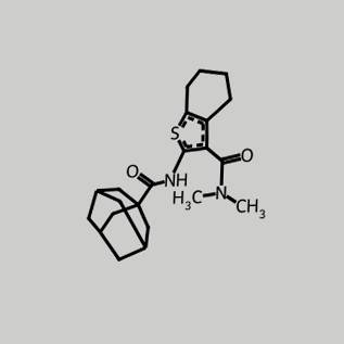 CN(C)C(=O)c1c(NC(=O)C23CC4CC(CC(C4)C2)C3)sc2c1CCCC2